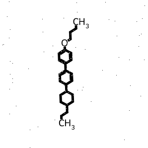 CCCCOc1ccc(C2=CCC(C3CCC(CCC)CC3)C=C2)cc1